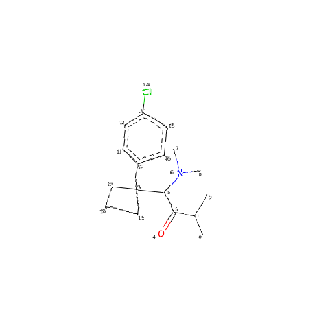 CC(C)C(=O)C(N(C)C)C1(c2ccc(Cl)cc2)CCC1